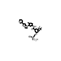 Cc1ccc(NC(=O)c2cc(OCCN(C(=O)O)C(C)(C)C)cc(S(F)(F)(F)(F)F)c2)cc1-n1ccn2nc(-c3cccnc3)cc12